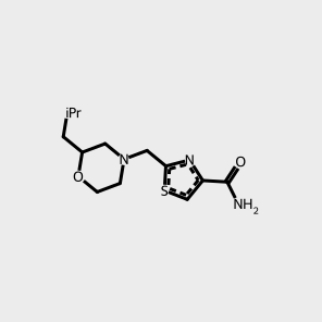 CC(C)CC1CN(Cc2nc(C(N)=O)cs2)CCO1